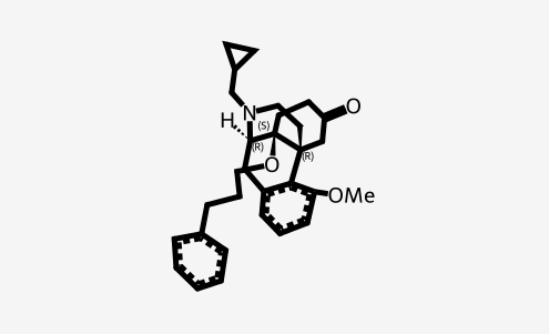 COc1cccc2c1[C@]13CCN(CC4CC4)[C@H](C2)[C@]1(OCCCc1ccccc1)CCC(=O)C3